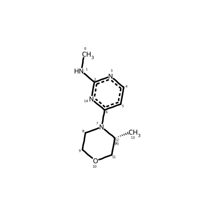 CNc1nccc(N2CCOC[C@H]2C)n1